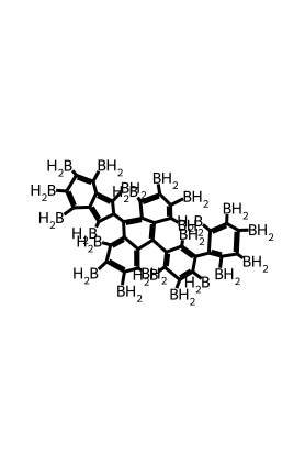 BC1=c2c(B)c(B)c(B)c(B)c2=C(B)C1c1c2c(B)c(B)c(B)c(B)c2c(-c2c(B)c(B)c(B)c(-c3c(B)c(B)c(B)c(B)c3B)c2B)c2c(B)c(B)c(B)c(B)c12